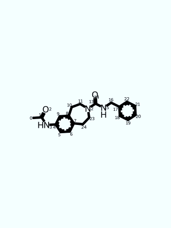 CC(=O)Nc1ccc2c(c1)CCN(C(=O)NCc1ccccc1)CC2